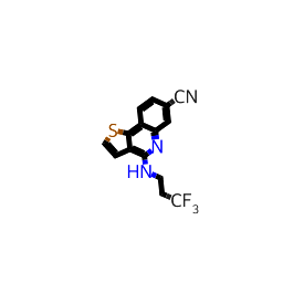 N#Cc1ccc2c(c1)nc(NCCC(F)(F)F)c1ccsc12